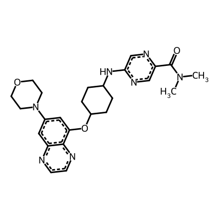 CN(C)C(=O)c1cnc(NC2CCC(Oc3cc(N4CCOCC4)cc4nccnc34)CC2)cn1